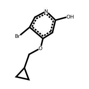 Oc1cc(OCC2CC2)c(Br)cn1